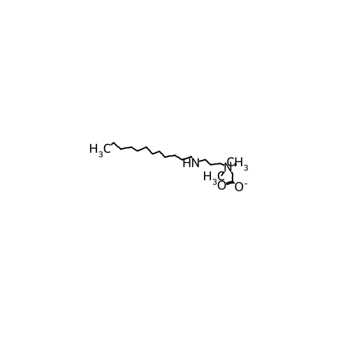 CCCCCCCCCCCCNCCC[N+](C)(C)CC(=O)[O-]